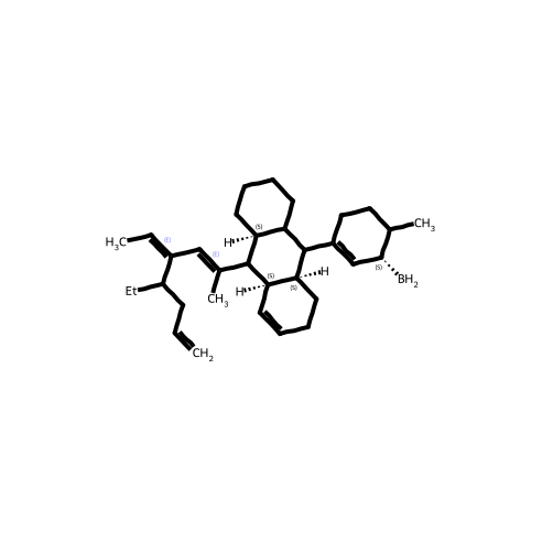 B[C@@H]1C=C(C2C3CCCC[C@@H]3C(/C(C)=C/C(=C/C)C(CC)CC=C)[C@@H]3C=CCC[C@H]23)CCC1C